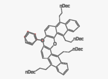 CCCCCCCCCCCCc1c2ccccc2c(CCCCCCCCCCCC)c2c(Oc3c(Oc4ccccc4)ccc4c(CCCCCCCCCCCC)c5ccccc5c(CCCCCCCCCCCC)c34)c(Oc3ccccc3)ccc12